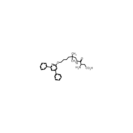 CC(C)(CCCCOc1cc(-c2ccccc2)cc(-c2ccccc2)n1)CNC(=O)C(N)CC(=O)O